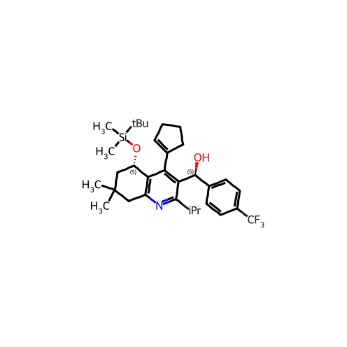 CC(C)c1nc2c(c(C3=CCCC3)c1[C@@H](O)c1ccc(C(F)(F)F)cc1)[C@@H](O[Si](C)(C)C(C)(C)C)CC(C)(C)C2